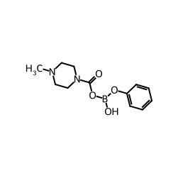 CN1CCN(C(=O)OB(O)Oc2ccccc2)CC1